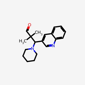 CC(C)(C=O)C(c1cnc2ccccc2c1)N1CCCCC1